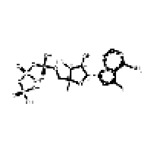 C[C@]1(COP(=O)(O)OP(=O)(O)OP(=O)(O)O)O[C@@H](c2cc(F)c3c(N)ncnn23)[C@H](O)[C@@H]1O